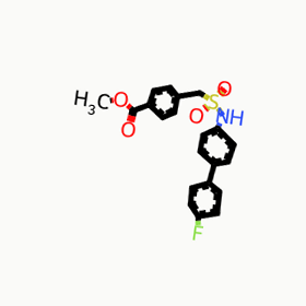 COC(=O)c1ccc(CS(=O)(=O)Nc2ccc(-c3ccc(F)cc3)cc2)cc1